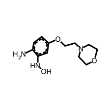 Nc1ccc(OCCN2CCOCC2)cc1NO